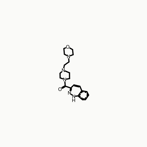 O=C(C1=NNc2ccccc2C=C1)N1CCN(CCN2CCOCC2)CC1